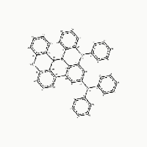 c1ccc(N(c2ccccc2)c2cc3c4c(c2)N(c2ccccc2)c2ccccc2B4N2c4ccccc4Oc4cccc-3c42)cc1